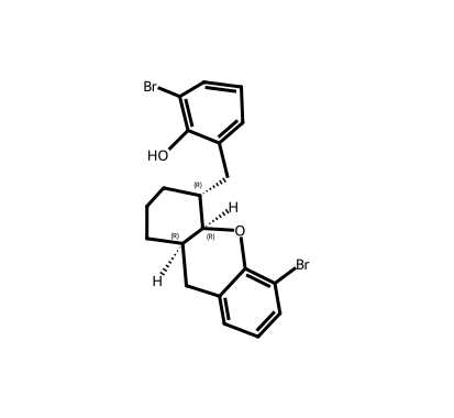 Oc1c(Br)cccc1C[C@H]1CCC[C@@H]2Cc3cccc(Br)c3O[C@H]12